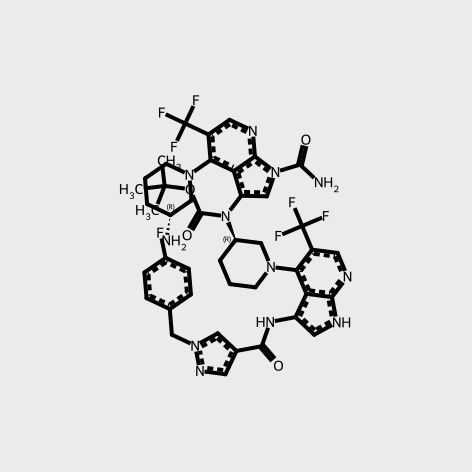 CC(C)(C)OC(=O)N(c1cn(C(N)=O)c2ncc(C(F)(F)F)c(N3CCC[C@@H](N)C3)c12)[C@@H]1CCCN(c2c(C(F)(F)F)cnc3[nH]cc(NC(=O)c4cnn(Cc5ccc(F)cc5)c4)c23)C1